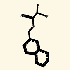 N=C(SCc1ccc2ccccc2c1)C(F)F